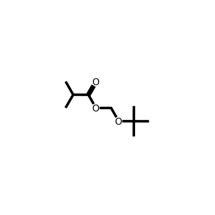 CC(C)C(=O)OCOC(C)(C)C